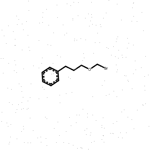 BrCOCCCc1ccccc1